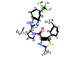 Cc1cccc(-c2sc(C)nc2C(=O)N2CC[C@H](C)[C@H]2c2nc3cc(C(F)(F)F)ccc3[nH]2)c1